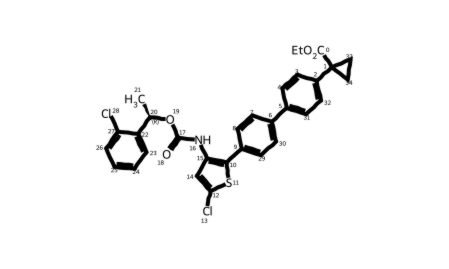 CCOC(=O)C1(c2ccc(-c3ccc(-c4sc(Cl)cc4NC(=O)O[C@H](C)c4ccccc4Cl)cc3)cc2)CC1